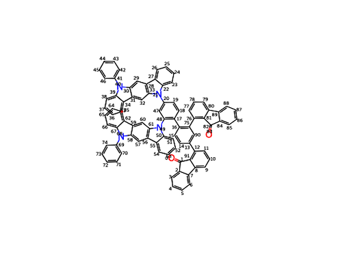 O=C1c2ccccc2-c2cccc(-c3ccc(-c4ccc(-n5c6ccccc6c6cc7c(cc65)c5ccccc5n7-c5ccccc5)cc4-n4c5ccccc5c5cc6c(cc54)c4ccccc4n6-c4ccccc4)c(-c4cccc5c4C(=O)c4ccccc4-5)c3)c21